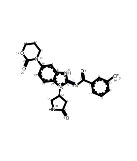 O=C1C[C@H](n2/c(=N/C(=O)c3cccc(C(F)(F)F)c3)[nH]c3cc(N4CCCOC4=O)ccc32)CN1